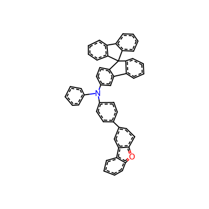 c1ccc(N(c2ccc(-c3ccc4oc5ccccc5c4c3)cc2)c2ccc3c(c2)-c2ccccc2C32c3ccccc3-c3ccccc32)cc1